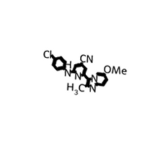 COc1ccc2nc(C)c(-c3cc(C#N)cc(Nc4ccc(Cl)cc4)n3)n2c1